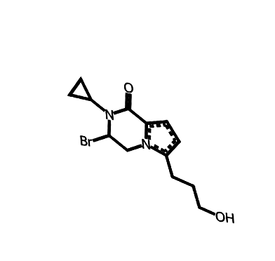 O=C1c2ccc(CCCO)n2CC(Br)N1C1CC1